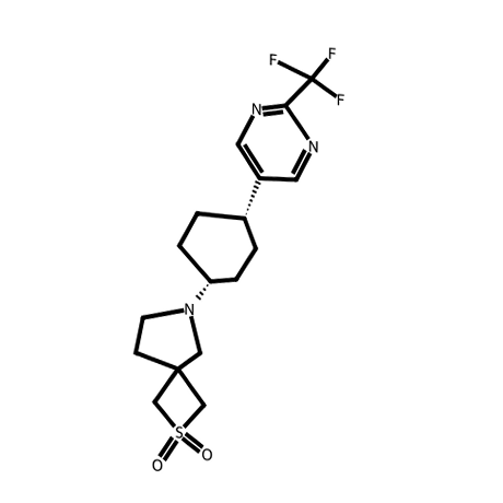 O=S1(=O)CC2(CCN([C@H]3CC[C@@H](c4cnc(C(F)(F)F)nc4)CC3)C2)C1